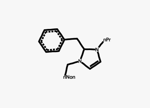 CCCCCCCCCCN1C=CN(CCC)C1Cc1ccccc1